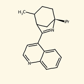 CC1CC[C@@]2(C(C)C)CC1C(c1ccnc3ccccc13)=N2